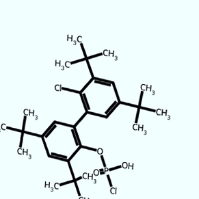 CC(C)(C)c1cc(-c2cc(C(C)(C)C)cc(C(C)(C)C)c2OP(=O)(O)Cl)c(Cl)c(C(C)(C)C)c1